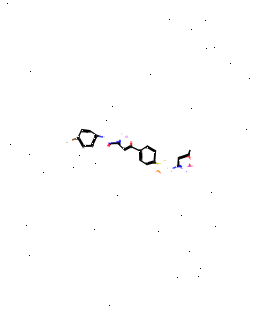 Cc1cc(NS(=O)(=O)c2ccc(-c3cc(C(=O)Nc4ccc(Br)cc4C(=O)O)no3)cc2)no1